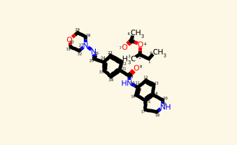 CCC(C)OC(C)=O.O=C(Nc1ccc2c(c1)CCNC2)c1ccc(C=NN2CCOCC2)cc1